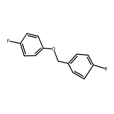 Fc1ccc(COc2ccc(F)cc2)cc1